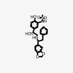 CS(=O)(=O)Nc1cc([C@@H](O)CNC(Cc2ccccc2)c2ccc3c(c2)OCO3)ccc1O